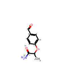 CC(Oc1ccc([C]=O)cc1)C(N)=O